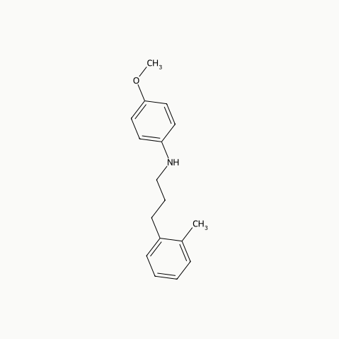 COc1ccc(NCCCc2ccccc2C)cc1